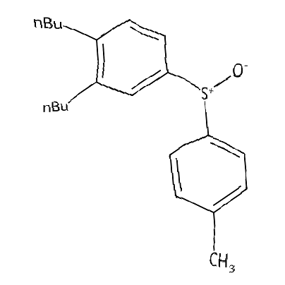 CCCCc1ccc([S+]([O-])c2ccc(C)cc2)cc1CCCC